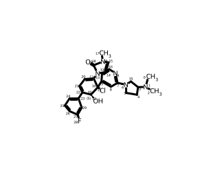 CN(C)C1CCN(c2cc(C3(Cl)C(n4ccn(C)c4=O)=CC=C(c4cccc(F)c4)[C@@H]3O)ccn2)C1